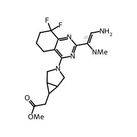 CN/C(=C\N)c1nc(N2CC3C(CC(=O)OC)C3C2)c2c(n1)C(F)(F)CCC2